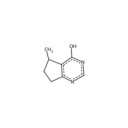 CC1CCc2ncnc(O)c21